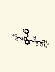 CC(C)CC(=O)NCCc1cccc2c1c(Cc1cccnc1)cn2CCC(=O)O